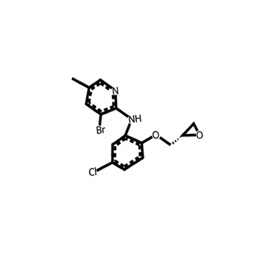 Cc1cnc(Nc2cc(Cl)ccc2OC[C@@H]2CO2)c(Br)c1